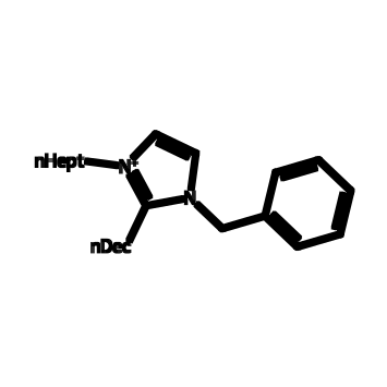 CCCCCCCCCCc1n(Cc2ccccc2)cc[n+]1CCCCCCC